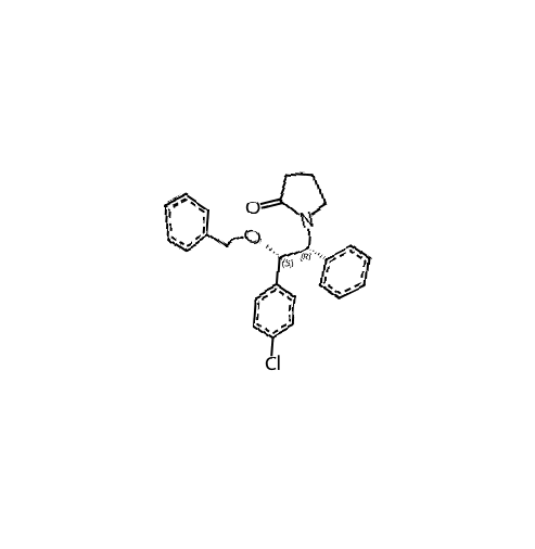 O=C1CCCN1[C@H](c1ccccc1)[C@@H](OCc1ccccc1)c1ccc(Cl)cc1